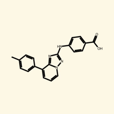 Cc1ccc(-c2cccn3nc(Nc4ccc(C(=O)O)cc4)nc23)cc1